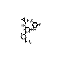 Cc1cc(F)cc(Nc2cc(NCC3CC3)nc(-c3nccc(N)n3)n2)c1